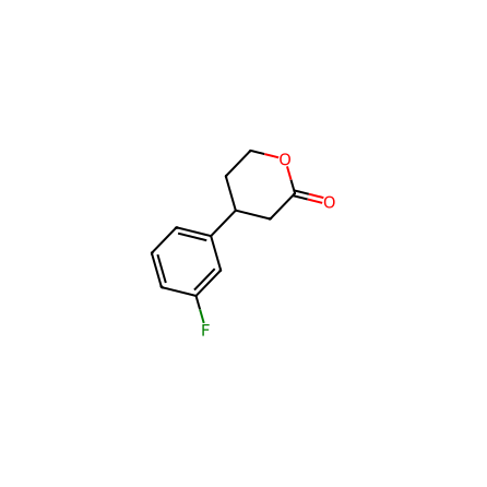 O=C1CC(c2cccc(F)c2)CCO1